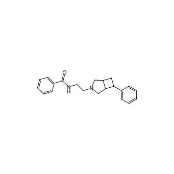 O=C(NCCN1CC2CC(c3ccccc3)C2C1)c1ccccc1